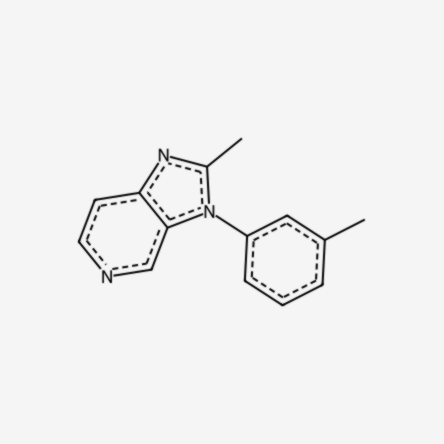 Cc1cccc(-n2c(C)nc3ccncc32)c1